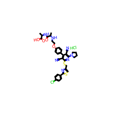 CC(NC(=O)C(C)NCCOc1ccc(-c2c(C#N)c(SCc3csc(-c4ccc(Cl)cc4)n3)nc(N3CCCC3)c2C#N)cc1)C(=O)O.Cl